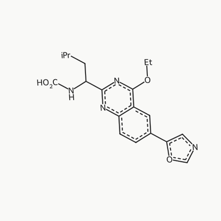 CCOc1nc(C(CC(C)C)NC(=O)O)nc2ccc(-c3cnco3)cc12